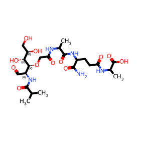 CC(C)C(=O)N[C@@H](C=O)[C@@H](OCC(=O)NC(C)C(=O)NC(CCC(=O)NC(C)C(=O)O)C(N)=O)[C@H](O)[C@H](O)CO